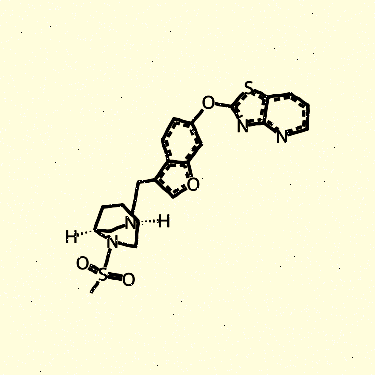 CS(=O)(=O)N1C[C@@H]2CC[C@H]1CN2Cc1coc2cc(Oc3nc4ncccc4s3)ccc12